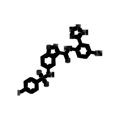 N#Cc1ccc(NC(=O)c2noc3ccc(NS(=O)(=O)c4ccc(F)cc4)cc23)c(-c2nnn[nH]2)c1